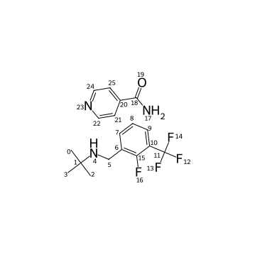 CC(C)(C)NCc1cccc(C(F)(F)F)c1F.NC(=O)c1ccncc1